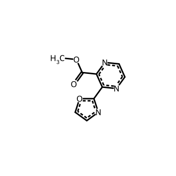 COC(=O)c1nccnc1-c1ncco1